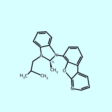 CC(C)CN1c2ccccc2N(c2cccc3c2oc2ncccc23)[C@H]1C